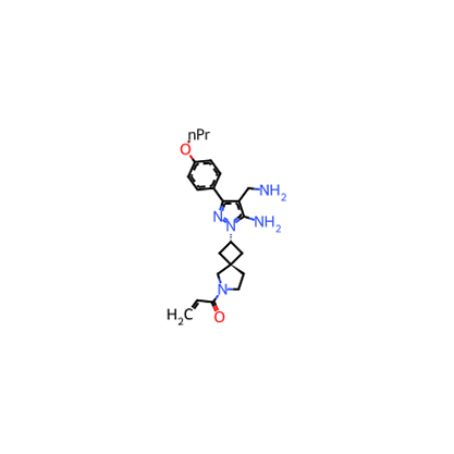 C=CC(=O)N1CC[C@]2(C1)C[C@@H](n1nc(-c3ccc(OCCC)cc3)c(CN)c1N)C2